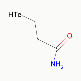 NC(=O)CC[TeH]